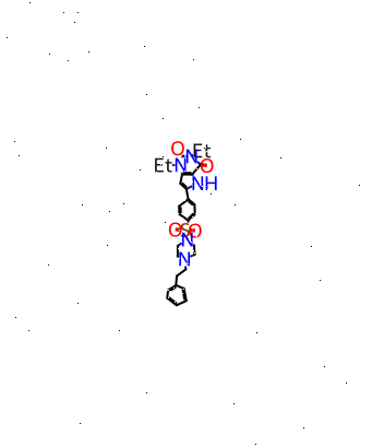 CCn1c(=O)c2[nH]c(-c3ccc(S(=O)(=O)N4CCN(CCc5ccccc5)CC4)cc3)cc2n(CC)c1=O